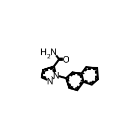 NC(=O)c1ccnn1-c1ccc2ccccc2c1